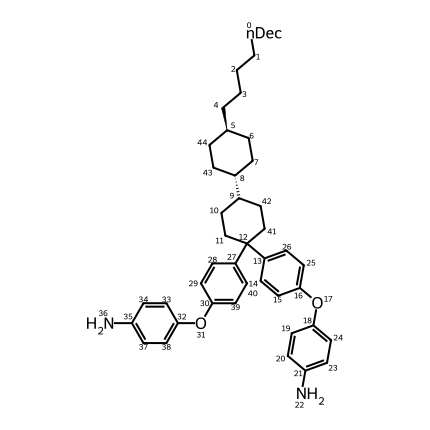 CCCCCCCCCCCCCC[C@H]1CC[C@H](C2CCC(c3ccc(Oc4ccc(N)cc4)cc3)(c3ccc(Oc4ccc(N)cc4)cc3)CC2)CC1